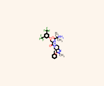 CN1N=C2CCN(C(=O)C(COc3cc(C(F)(F)F)cc(C(F)(F)F)c3)NC(=O)C(C)(C)N)C[C@@]2(Cc2ccccc2)C1=O